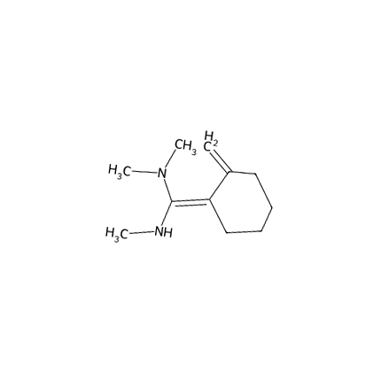 C=C1CCCC/C1=C(\NC)N(C)C